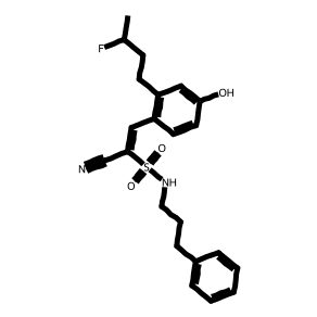 CC(F)CCc1cc(O)ccc1C=C(C#N)S(=O)(=O)NCCCc1ccccc1